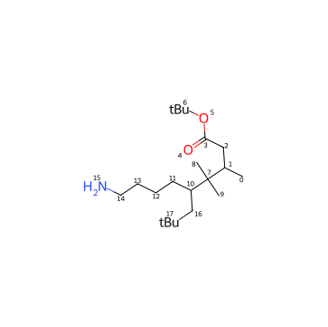 CC(CC(=O)OC(C)(C)C)C(C)(C)C(CCCCN)CC(C)(C)C